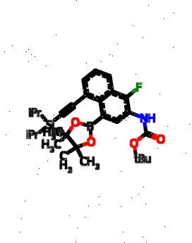 CC(C)[Si](C#Cc1cccc2c(F)c(NC(=O)OC(C)(C)C)cc(B3OC(C)(C)C(C)(C)O3)c12)(C(C)C)C(C)C